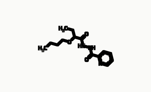 CCCCOC(CC)C(=O)NNC(=O)c1ccccn1